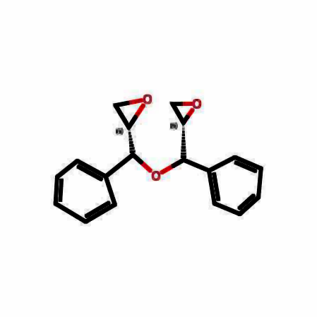 c1ccc(C(OC(c2ccccc2)[C@@H]2CO2)[C@@H]2CO2)cc1